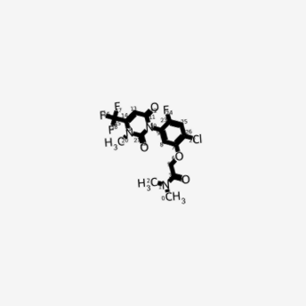 CN(C)C(=O)COc1cc(-n2c(=O)cc(C(F)(F)F)n(C)c2=O)c(F)cc1Cl